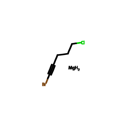 ClCCCC#CBr.[MgH2]